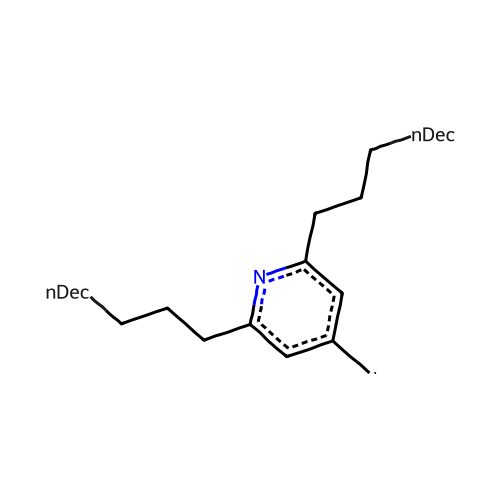 [CH2]c1cc(CCCCCCCCCCCCC)nc(CCCCCCCCCCCCC)c1